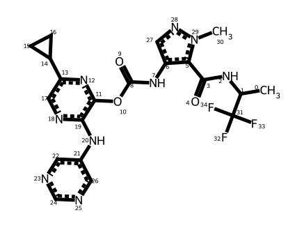 CC(NC(=O)c1c(NC(=O)Oc2nc(C3CC3)cnc2Nc2cncnc2)cnn1C)C(F)(F)F